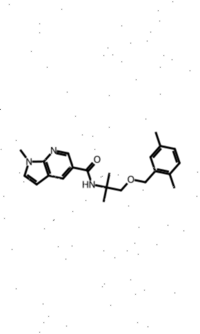 Cc1ccc(C)c(COCC(C)(C)NC(=O)c2cnc3c(ccn3C)c2)c1